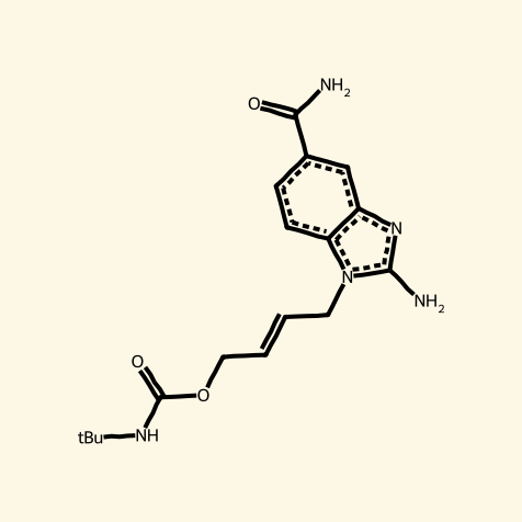 CC(C)(C)NC(=O)OC/C=C/Cn1c(N)nc2cc(C(N)=O)ccc21